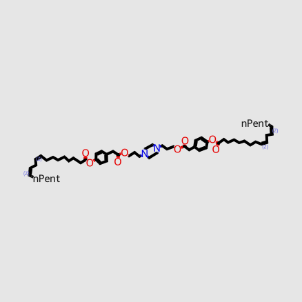 CCCCC/C=C\C/C=C\CCCCCCCC(=O)Oc1ccc(CC(=O)OCCCN2CCN(CCCOC(=O)Cc3ccc(OC(=O)CCCCCCC/C=C\C/C=C\CCCCC)cc3)CC2)cc1